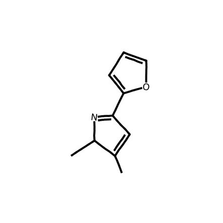 CC1=CC(c2ccco2)=NC1C